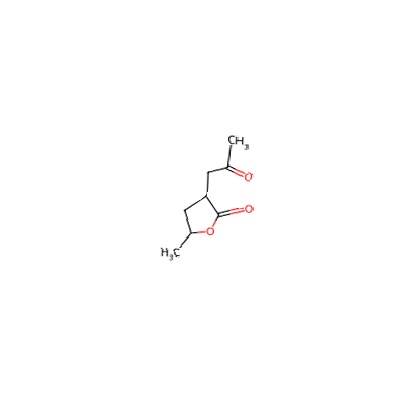 CC(=O)CC1CC(C)OC1=O